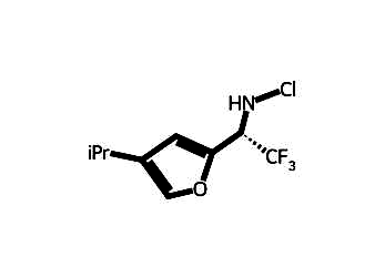 CC(C)c1coc([C@H](NCl)C(F)(F)F)c1